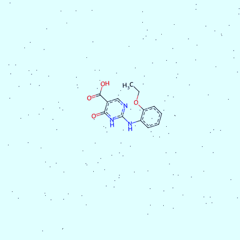 CCOc1ccccc1Nc1ncc(C(=O)O)c(=O)[nH]1